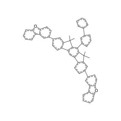 CC1(C)c2cc(-c3ccc4oc5ccccc5c4c3)ccc2-c2cc3c(c(-c4cccc(-c5ccccc5)c4)c21)C(C)(C)c1cc(-c2ccc4oc5ccccc5c4c2)ccc1-3